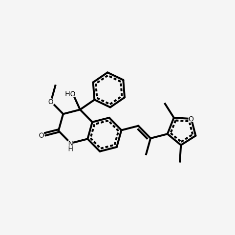 COC1C(=O)Nc2ccc(C=C(C)c3c(C)coc3C)cc2C1(O)c1ccccc1